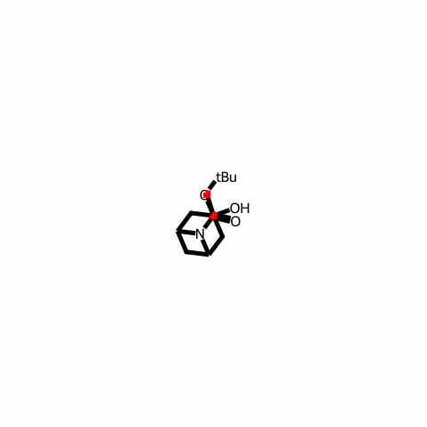 CC1(O)CC2CC(C1)N2C(=O)OC(C)(C)C